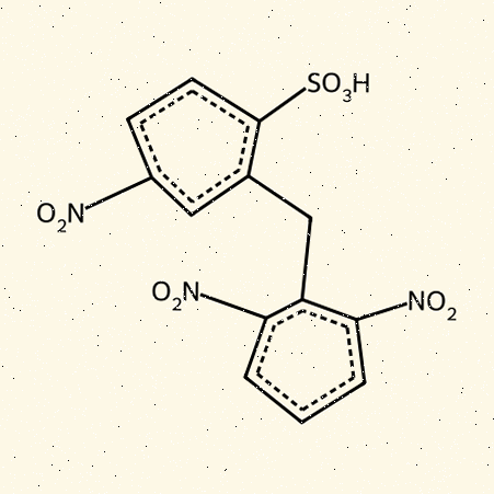 O=[N+]([O-])c1ccc(S(=O)(=O)O)c(Cc2c([N+](=O)[O-])cccc2[N+](=O)[O-])c1